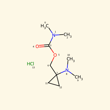 CN(C)C(=O)OCC1(N(C)C)CC1.Cl